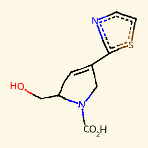 O=C(O)N1CC(c2nccs2)=CC1CO